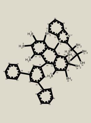 Bc1c(B)c(B)c2c(-n3c(C(B)(B)C(B)(B)O)nc4ccccc43)c3c(B)c(B)c(B)c(B)c3c(-c3cc(-c4ccccc4)cc(-c4ccccc4)c3)c2c1B